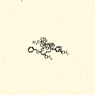 CN(CCN(c1cnn(C)c1)S(=O)(=O)NC(=O)OC(C)(C)C)CC(=O)OCc1ccccc1